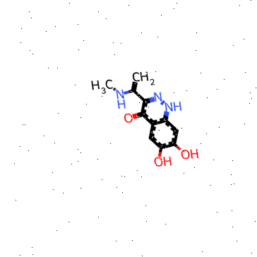 C=C(NC)c1n[nH]c2cc(O)c(O)cc2c1=O